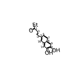 CCC(=O)CSc1ccc2cc(O)c(O)cc2c1